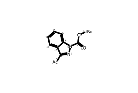 CC(=O)c1nn(C(=O)OC(C)(C)C)c2ccccc12